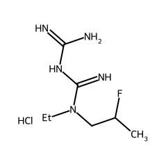 CCN(CC(C)F)C(=N)NC(=N)N.Cl